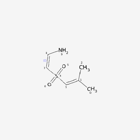 CC(C)=CS(=O)(=O)/C=C\N